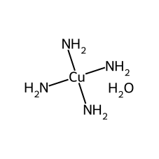 O.[NH2][Cu]([NH2])([NH2])[NH2]